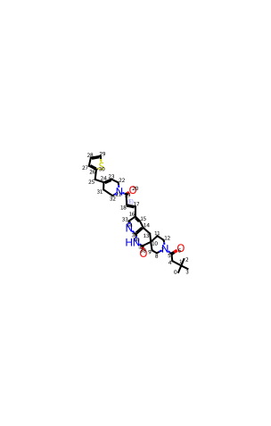 CC(C)(C)CC(=O)N1CCC2(CC1)Cc1cc(/C=C/C(=O)N3CC=C(Cc4cccs4)CC3)cnc1NC2=O